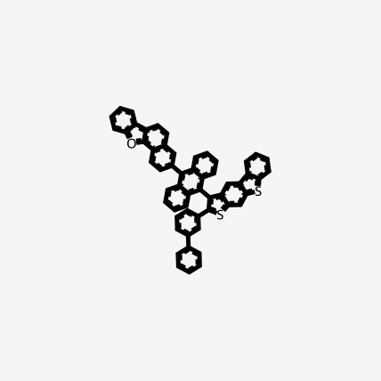 c1ccc(-c2cccc(-c3sc4cc5sc6ccccc6c5cc4c3-c3c4ccccc4c(-c4ccc5c(ccc6c7ccccc7oc56)c4)c4ccccc34)c2)cc1